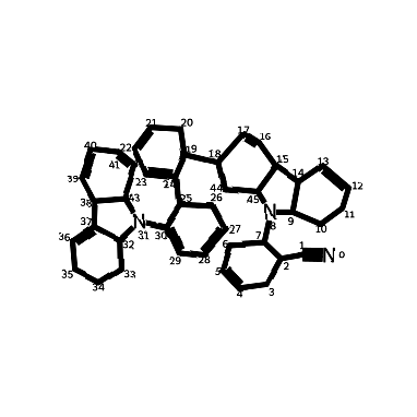 N#CC1CC=CCC1N1C2CCC=CC2C2C=CC(C3CC=CC=C3C3CC=CC=C3N3C4CCCC=C4C4C=CC=CC43)CC21